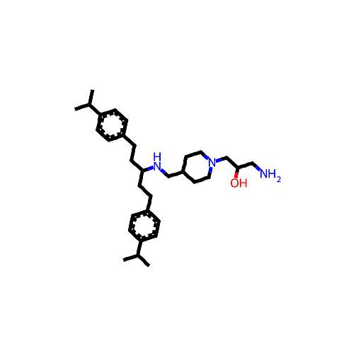 CC(C)c1ccc(CCC(CCc2ccc(C(C)C)cc2)NCC2CCN(CC(O)CN)CC2)cc1